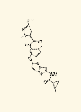 COC1=NN(C)C(C(=O)Nc2cc(Oc3ccc4nc(NC(=O)C5CC5C)cn4n3)ccc2C)C1